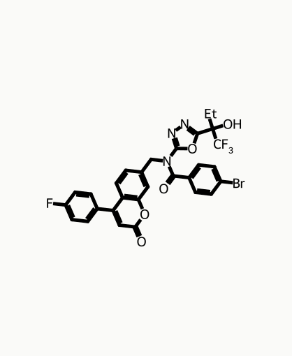 CCC(O)(c1nnc(N(Cc2ccc3c(-c4ccc(F)cc4)cc(=O)oc3c2)C(=O)c2ccc(Br)cc2)o1)C(F)(F)F